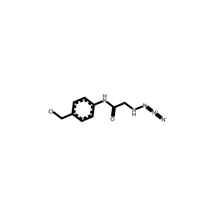 [N-]=[N+]=NNCC(=O)Nc1ccc(CCl)cc1